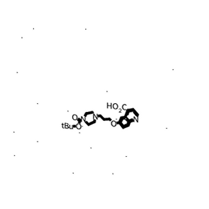 CC(C)(C)OC(=O)N1CCN(CCCOc2ccc3nccc(C(=O)O)c3c2)CC1